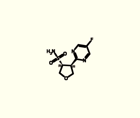 NS(=O)(=O)[C@H]1COC[C@@H]1c1ncc(F)cn1